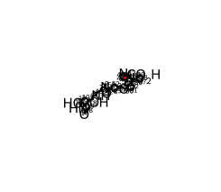 CN(CCCNC[C@H](O)c1ccc(O)c2[nH]c(=O)ccc12)C(=O)c1ccc(COc2cccc(C(c3ccccc3)N(C(=O)O)[C@H]3CN4CCC3CC4)c2)cc1